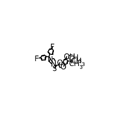 CC(C)(C)c1cc2c(cc1O)OC(C(=S)N1CCN(C(c3ccc(F)cc3)c3ccc(F)cc3)CC1)CO2